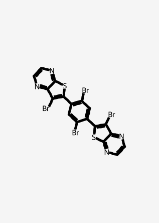 Brc1cc(-c2sc3nccnc3c2Br)c(Br)cc1-c1sc2nccnc2c1Br